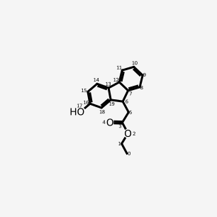 CCOC(=O)CC1c2ccccc2-c2ccc(O)cc21